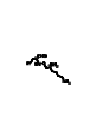 CC(C)C[C@H](C=O)NOC[C@H](N)CCCCN